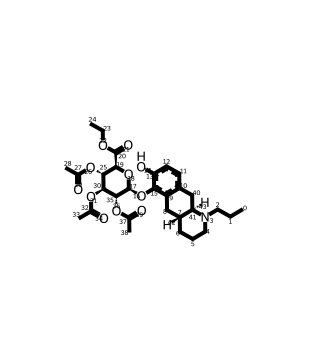 CCCN1CCC[C@@H]2Cc3c(ccc(O)c3O[C@@H]3O[C@H](C(=O)OCC)[C@@H](OC(C)=O)[C@H](OC(C)=O)[C@H]3OC(C)=O)C[C@H]21